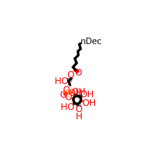 CCCCCCCCCCCCCCCCCC(=O)OC[C@@H](O)COP(=O)(O)OC1[C@H](O)[C@H](O)C(O)[C@H](O)[C@H]1O